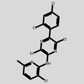 CCc1ccc(C)nc1Nc1nc(CC)c(-c2ccc(Cl)cc2Cl)nc1CC